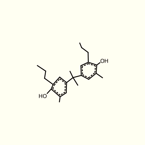 CCCc1cc(C(C)(C)c2cc(C)c(O)c(CCC)c2)cc(C)c1O